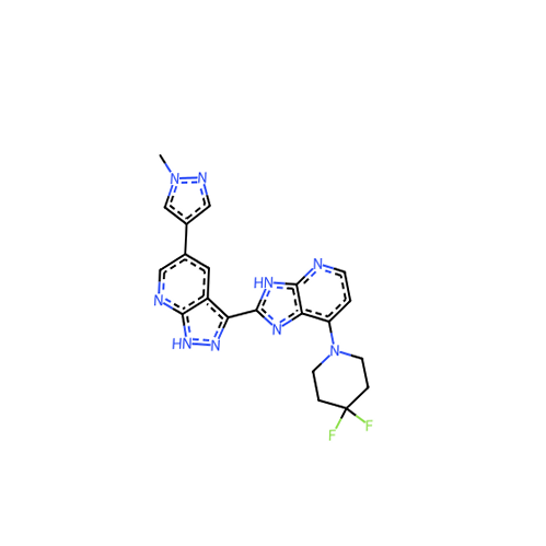 Cn1cc(-c2cnc3[nH]nc(-c4nc5c(N6CCC(F)(F)CC6)ccnc5[nH]4)c3c2)cn1